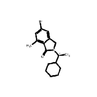 Cc1cc(Br)cc2c1C(=O)N([C@@H](C)C1CCCCC1)C2